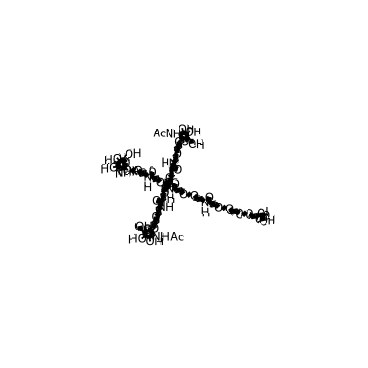 CC(=O)N[C@H]1[C@H](OCCOCCNC(=O)CCOCC(COCCC(=O)NCCOCCO[C@@H]2O[C@H](CO)[C@H](O)[C@H](O)[C@H]2NC(C)=O)(COCCC(=O)NCCOCCO[C@@H]2O[C@H](CO)[C@H](O)[C@H](O)[C@H]2NC(C)=O)NC(=O)CCOCCOCCNC(=O)CCOCCOCCOCCOCCOP(=O)(O)OI)O[C@H](CO)[C@H](O)[C@@H]1O